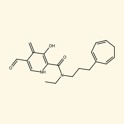 C=C1C(C=O)=CNC(C(=O)N(CC)CCCC2=CC=CCC=C2)=C1O